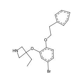 CCC1(Oc2cc(Br)ccc2OCCc2ccccc2)CNC1